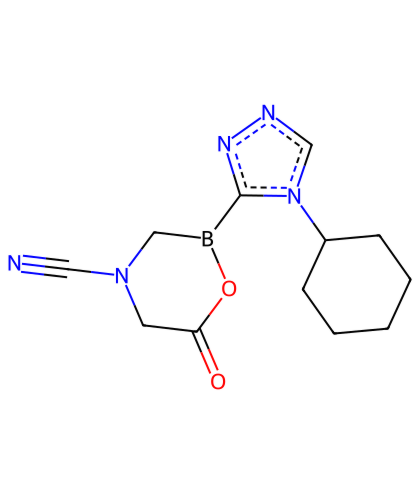 N#CN1CB(c2nncn2C2CCCCC2)OC(=O)C1